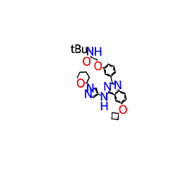 CC(C)(C)NC(=O)COc1cccc(-c2nc(Nc3cnn(C4CCCCO4)c3)c3cc(OC4CCC4)ccc3n2)c1